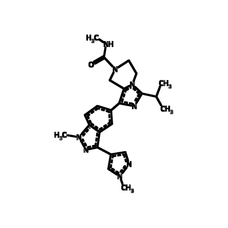 CNC(=O)N1CCn2c(C(C)C)nc(-c3ccc4c(c3)c(-c3cnn(C)c3)nn4C)c2C1